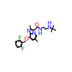 Cc1cc(OCc2c(F)cccc2F)c2nc(C)c(C(=O)NCCNC(C)(C)C)n2c1